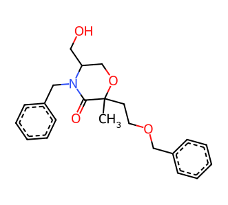 CC1(CCOCc2ccccc2)OCC(CO)N(Cc2ccccc2)C1=O